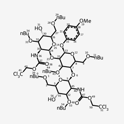 CCCCOCC1O[C@@H](O[C@@H]2C(COCCCC)O[C@H](Oc3ccc(OC)cc3)C(O[C@@H]3OC(COCCCC)[C@@H](O)C(OCCCC)[C@@H]3NC(=O)OCC(Cl)(Cl)Cl)C2OCCCC)C(NC(=O)OCC(Cl)(Cl)Cl)C(OCCCC)[C@@H]1O